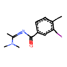 C/C(=N/C(=O)c1ccc(C)c(I)c1)N(C)C